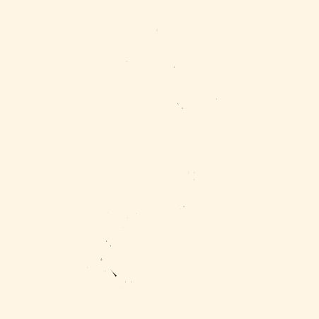 Cc1oc(-c2ccccc2)nc1CCOc1ccc(S(=O)(=O)N2CC[C@@H]2C(=O)O)cc1